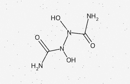 NC(=O)N(O)N(O)C(N)=O